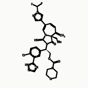 C=C1C=CC(c2cnn(C(F)F)c2)=CN2C(=N)N([C@H](COC(=O)N3CCOCC3)c3ccc(Cl)c(-c4ncn[nH]4)c3)C(=O)[C@@]12CC(C)(C)C